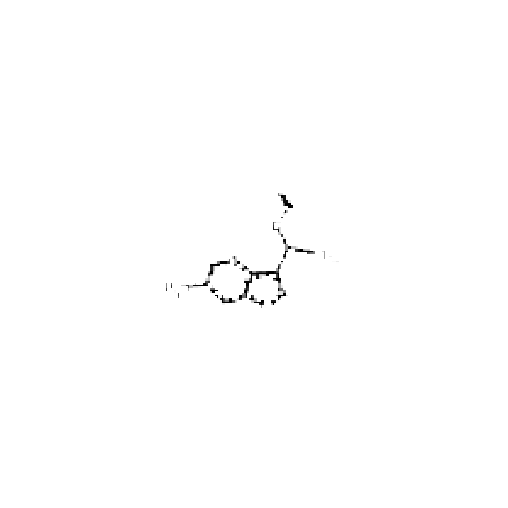 Cc1ccc2c(C(C)OC=O)c[nH]c2c1